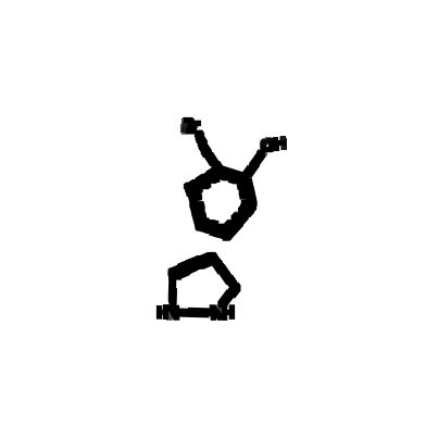 C1=CNNC1.Oc1ccccc1Br